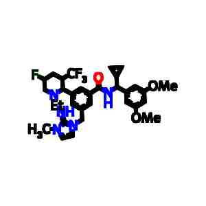 CCN1CC(F)CC(C(F)(F)F)C1c1cc(Cn2ccn(C)c2=N)cc(C(=O)NC(c2cc(OC)cc(OC)c2)C2CC2)c1